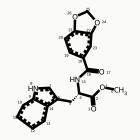 COC(=O)[C@H](Cc1c[nH]c2ccccc12)NC(=O)c1ccc2c(c1)OCO2